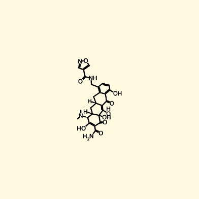 CN(C)[C@@H]1C(O)=C(C(N)=O)C(=O)[C@@]2(O)C(O)=C3C(=O)c4c(O)ccc(CNC(=O)c5cnoc5)c4C[C@H]3C[C@@H]12